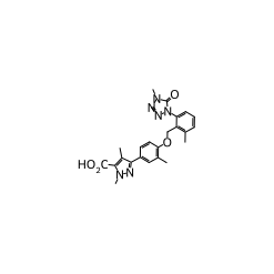 Cc1cc(-c2nn(C)c(C(=O)O)c2C)ccc1OCc1c(C)cccc1-n1nnn(C)c1=O